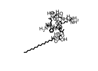 CCCCCCCCCCCCCCCCCC(=O)N[C@H](C(=O)N[C@H](C(=O)N[C@@H](Cc1ccccc1)C(=O)N[C@@H](CCCNC(=N)N)C(=O)N[C@@H](CO)C(=O)N[C@@H](CO)C(=O)N[C@H](C)CCCNC(=N)N)C(C)C)[C@@H](C)O